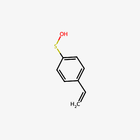 C=Cc1ccc(SO)cc1